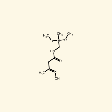 CO[Si](C)(CNC(=O)CC(C)=NO)OC